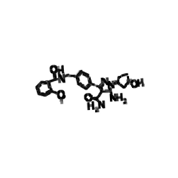 COc1ccccc1C(=O)NCc1ccc(-c2nn([C@H]3CC[C@H](O)C3)c(N)c2C(N)=O)cc1